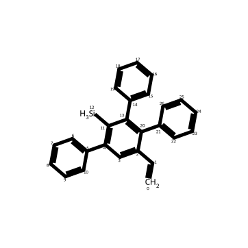 C=Cc1cc(-c2ccccc2)c([SiH3])c(-c2ccccc2)c1-c1ccccc1